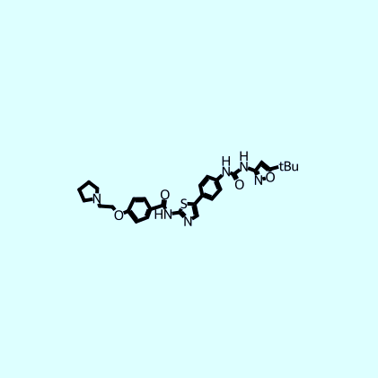 CC(C)(C)c1cc(NC(=O)Nc2ccc(-c3cnc(NC(=O)c4ccc(OCCN5CCCC5)cc4)s3)cc2)no1